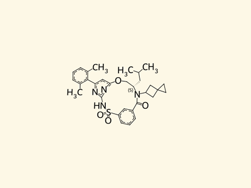 Cc1cccc(C)c1-c1cc2nc(n1)NS(=O)(=O)c1cccc(c1)C(=O)N(C1CC3(CC3)C1)[C@@H](CC(C)C)CO2